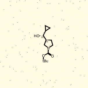 CC(C)(C)OC(=O)N1CC[C@H]([C@H](O)C2CC2)C1